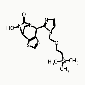 C[Si](C)(C)CCOCn1ccnc1C1c2ncsc2C2CN1C(=O)N2O